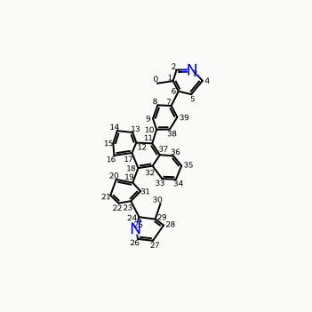 Cc1cnccc1-c1ccc(-c2c3ccccc3c(-c3cccc(-c4ncccc4C)c3)c3ccccc23)cc1